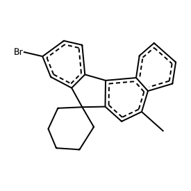 Cc1cc2c(c3ccccc13)-c1ccc(Br)cc1C21CCCCC1